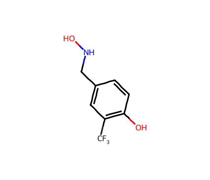 ONCc1ccc(O)c(C(F)(F)F)c1